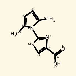 Cc1ccc(C)n1-c1nc(C(=O)O)cs1